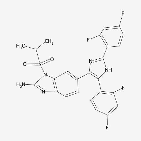 CC(C)S(=O)(=O)n1c(N)nc2ccc(-c3nc(-c4ccc(F)cc4F)[nH]c3-c3ccc(F)cc3F)cc21